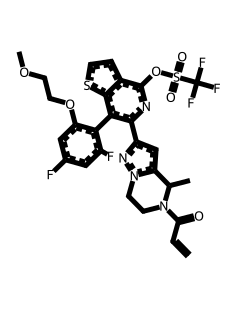 C=CC(=O)N1CCn2nc(-c3nc(OS(=O)(=O)C(F)(F)F)c4ccsc4c3-c3c(F)cc(F)cc3OCCOC)cc2C1C